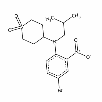 CC(C)CN(c1ccc(Br)cc1[N+](=O)[O-])C1CCS(=O)(=O)CC1